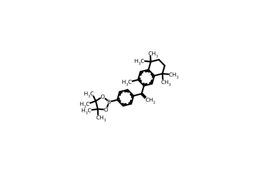 C=C(c1ccc(B2OC(C)(C)C(C)(C)O2)cc1)c1cc2c(cc1C)C(C)(C)CCC2(C)C